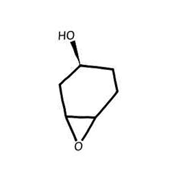 O[C@H]1CCC2OC2C1